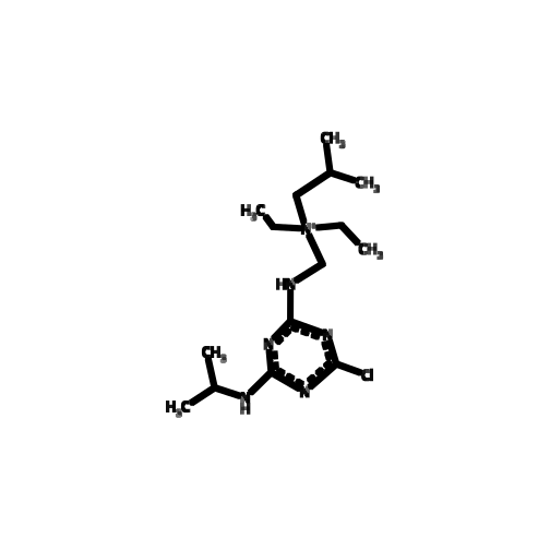 CC[N+](CC)(CNc1nc(Cl)nc(NC(C)C)n1)CC(C)C